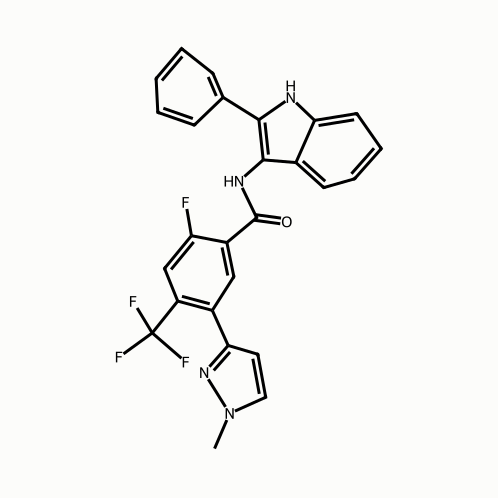 Cn1ccc(-c2cc(C(=O)Nc3c(-c4ccccc4)[nH]c4ccccc34)c(F)cc2C(F)(F)F)n1